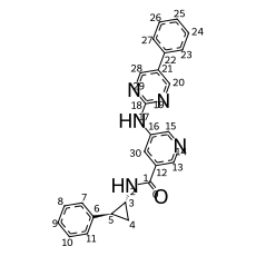 O=C(N[C@@H]1C[C@H]1c1ccccc1)c1cncc(Nc2ncc(-c3ccccc3)cn2)c1